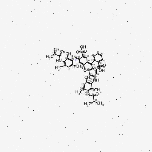 Cc1cc(C)c(NC(=O)C(C)C)c(C)c1/N=c1\cc2oc3cc(Nc4c(C)cc(C)c(NC(=O)C(C)C)c4C)ccc3c(-c3ccccc3S(=O)(=O)O)c-2cc1S(=O)(=O)O